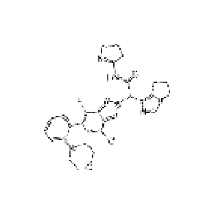 O=C(Nc1nccs1)C(c1ncn2c1CCC2)n1cc2c(Cl)cc(-c3ccccc3N3CCOCC3)c(F)c2n1